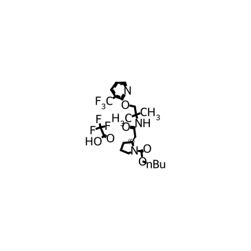 CCCCOC(=O)N1CCC[C@H]1CC(=O)NC(C)(C)COc1ncccc1C(F)(F)F.O=C(O)C(F)(F)F